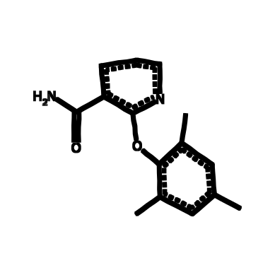 Cc1cc(C)c(Oc2ncccc2C(N)=O)c(C)c1